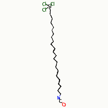 O=C=NCCCCCCCCCCCCCCCCCCCCCCC[Si](Cl)(Cl)Cl